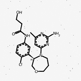 Cc1cc(N2CCCOC[C@H]2c2cc(NC(=O)CCO)ccc2Cl)nc(N)n1